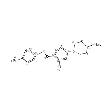 CCCCCC[C@H]1CC[C@H](c2ccc(SCc3ccc(CCC)cc3)c(Cl)c2)CC1